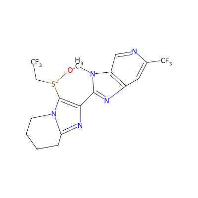 Cn1c(-c2nc3n(c2[S+]([O-])CC(F)(F)F)CCCC3)nc2cc(C(F)(F)F)ncc21